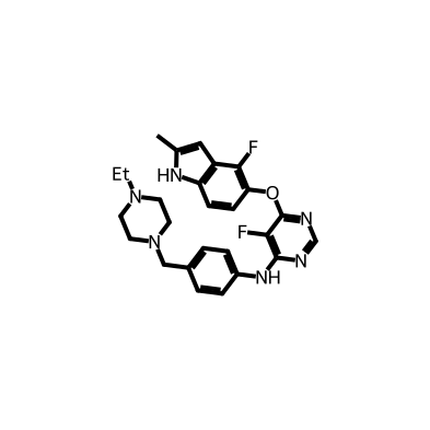 CCN1CCN(Cc2ccc(Nc3ncnc(Oc4ccc5[nH]c(C)cc5c4F)c3F)cc2)CC1